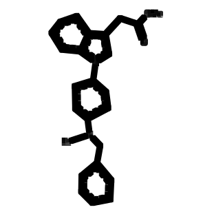 CCN(Cc1ccccc1)c1ccc(-n2cc(CC(=O)OC)c3ccccc32)cc1